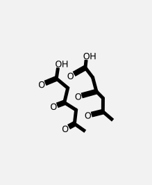 CC(=O)CC(=O)CC(=O)O.CC(=O)CC(=O)CC(=O)O